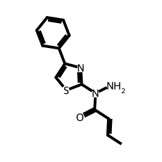 C/C=C/C(=O)N(N)c1nc(-c2ccccc2)cs1